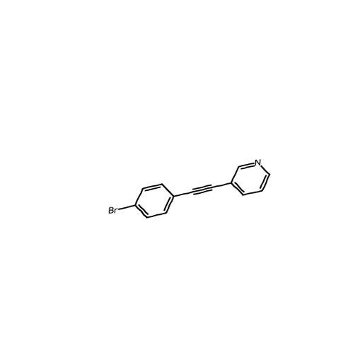 Brc1ccc(C#Cc2cccnc2)cc1